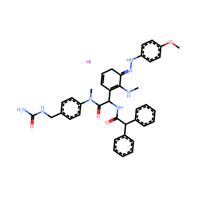 CNC1=C(C(NC(=O)C(c2ccccc2)c2ccccc2)C(=O)N(C)c2ccc(CNC(N)=O)cc2)C=CCC1=NNc1ccc(OC)cc1.I